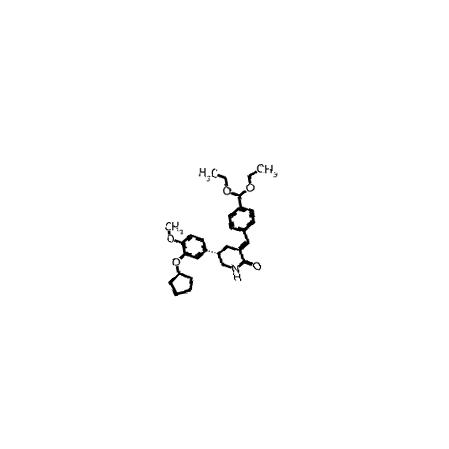 CCOC(OCC)c1ccc(/C=C2\C[C@@H](c3ccc(OC)c(OC4CCCC4)c3)CNC2=O)cc1